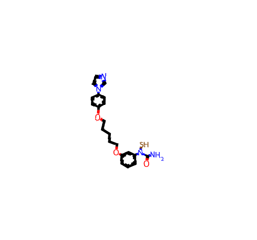 NC(=O)N(S)c1cccc(OCCCCCOc2ccc(-n3ccnc3)cc2)c1